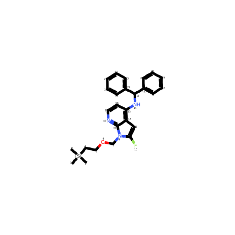 C[Si](C)(C)CCOCn1c(F)cc2c(NC(c3ccccc3)c3ccccc3)ccnc21